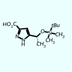 C[C@@H](O[Si](C)(C)C(C)(C)C)c1cc(C(=O)O)n[nH]1